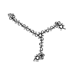 Cc1ccc(S(=O)(=O)OCCOCCOCCOc2cc(OCCOCCOCCOCCOCCOCC(=O)OC(C)(C)C)cc(OCCOCCOCCOS(=O)(=O)c3ccc(C)cc3)c2)cc1